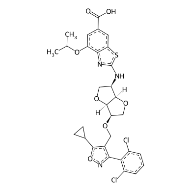 CC(C)Oc1cc(C(=O)O)cc2sc(N[C@@H]3CO[C@H]4[C@@H]3OC[C@H]4OCc3c(-c4c(Cl)cccc4Cl)noc3C3CC3)nc12